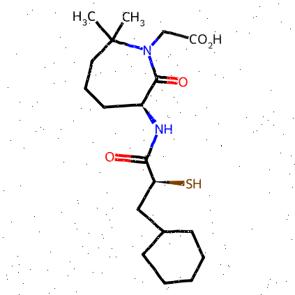 CC1(C)CCC[C@H](NC(=O)[C@@H](S)CC2CCCCC2)C(=O)N1CC(=O)O